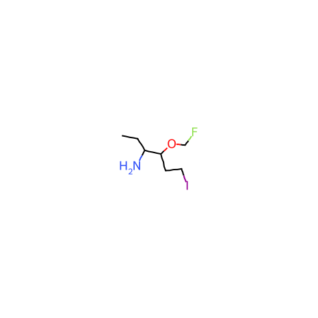 CCC(N)C(CCI)OCF